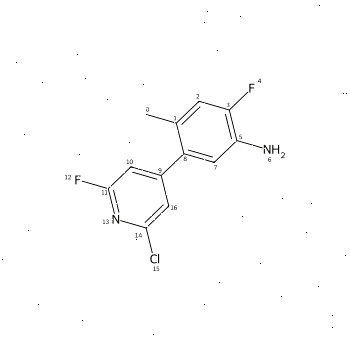 Cc1cc(F)c(N)cc1-c1cc(F)nc(Cl)c1